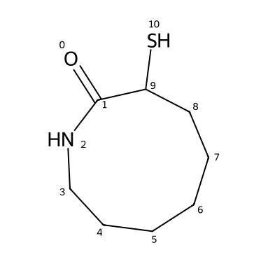 O=C1NCCCCCCC1S